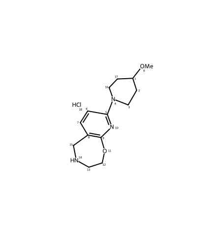 COC1CCN(c2ccc3c(n2)OCCNC3)CC1.Cl